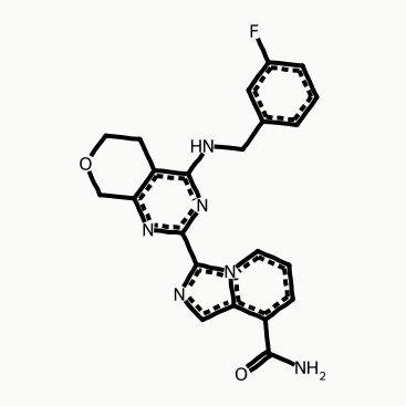 NC(=O)c1cccn2c(-c3nc4c(c(NCc5cccc(F)c5)n3)CCOC4)ncc12